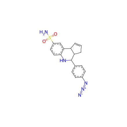 [N-]=[N+]=Nc1ccc(C2Nc3ccc(S(N)(=O)=O)cc3C3C=CCC32)cc1